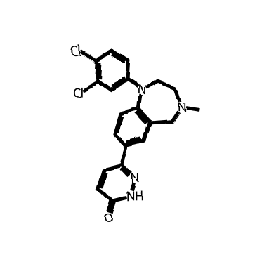 CN1CCN(c2ccc(Cl)c(Cl)c2)c2ccc(-c3ccc(=O)[nH]n3)cc2C1